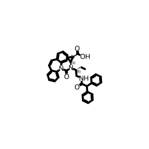 CC[C@H](CNC(=O)C(c1ccccc1)c1ccccc1)N(C(=O)N1c2ccccc2C=Cc2ccccc21)[C@H]1C[C@H]1C(=O)O